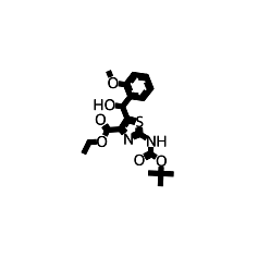 CCOC(=O)c1nc(NC(=O)OC(C)(C)C)sc1C(O)c1ccccc1OC